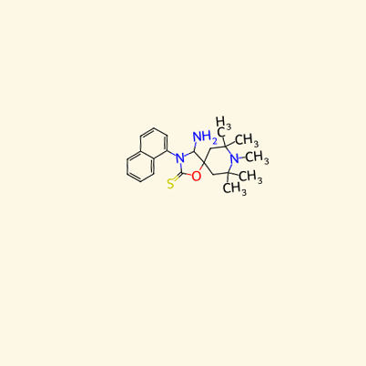 CN1C(C)(C)CC2(CC1(C)C)OC(=S)N(c1cccc3ccccc13)C2N